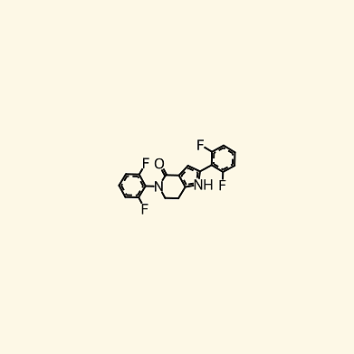 O=C1c2cc(-c3c(F)cccc3F)[nH]c2CCN1c1c(F)cccc1F